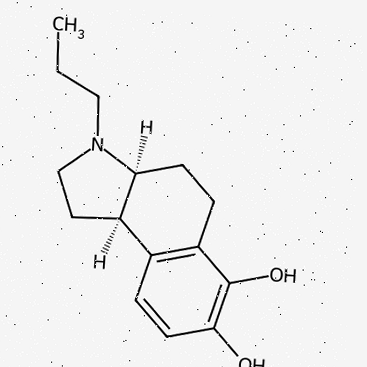 CCCN1CC[C@@H]2c3ccc(O)c(O)c3CC[C@@H]21